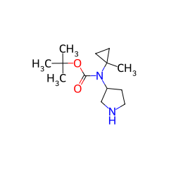 CC(C)(C)OC(=O)N(C1CCNC1)C1(C)CC1